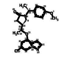 COc1ccc([C@@H](C)N2C[C@H]([C@@H](C)Oc3cc(Cl)cn4nccc34)CC2=O)cc1